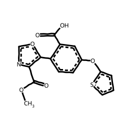 COC(=O)c1ncoc1-c1ccc(Oc2cccs2)cc1C(=O)O